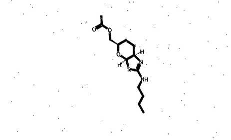 CCCCNC1=N[C@@H]2[C][C][C@H](COC(C)=O)O[C@@H]2S1